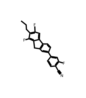 CCCc1c(F)cc2c(c1F)Cc1cc(-c3ccc(C#N)c(F)c3)ccc1-2